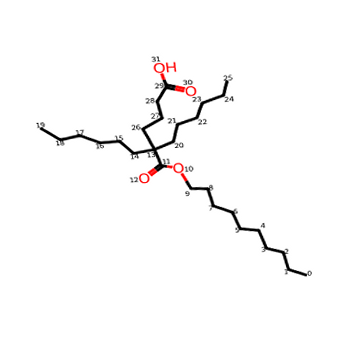 CCCCCCCCCCOC(=O)C(CCCCCC)(CCCCCC)CCCC(=O)O